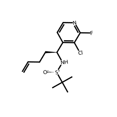 C=CCC[C@H](N[S@@+]([O-])C(C)(C)C)c1ccnc(F)c1Cl